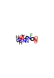 CC(C)(C)OC(=O)N1[C@H]2CC[C@H]1CC(Oc1ncnc3c1ccn3-c1ccc(S(C)(=O)=O)cc1F)C2